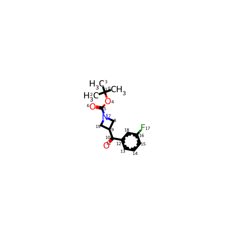 CC(C)(C)OC(=O)N1CC(C(=O)c2cccc(F)c2)C1